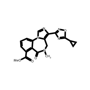 COC(=O)c1cccc2c1C(=O)N(C)Cc1c(-c3noc(C4CC4)n3)ncn1-2